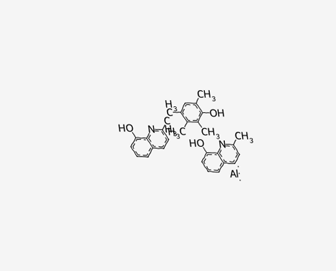 Cc1cc(C)c(O)c(C)c1C.Cc1ccc2cccc(O)c2n1.Cc1ccc2cccc(O)c2n1.[Al]